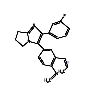 C=Nc1ccc(-c2c(-c3cccc(F)c3)nc3n2CCC3)cc1/C=C\C